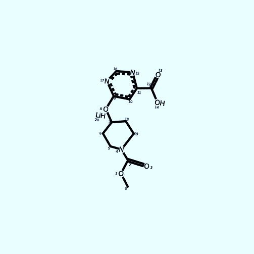 COC(=O)N1CCC(Oc2cc(C(=O)O)ncn2)CC1.[LiH]